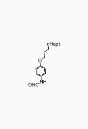 CCCCCCCCCCOc1ccc(N[C]=O)cc1